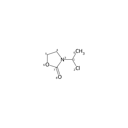 CC(Cl)N1CCOC1=O